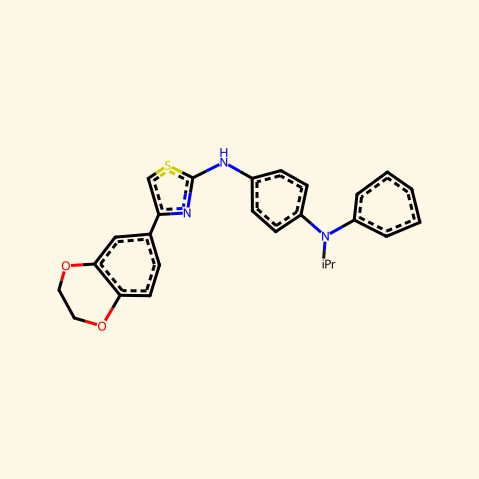 CC(C)N(c1ccccc1)c1ccc(Nc2nc(-c3ccc4c(c3)OCCO4)cs2)cc1